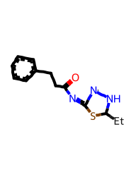 CCC1N[N]C(=NC(=O)CCc2ccccc2)S1